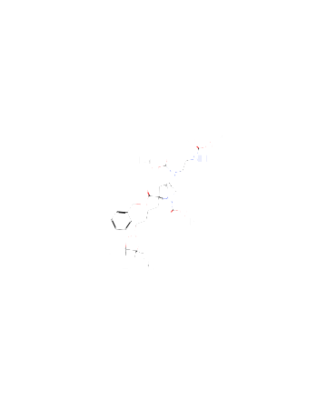 CC(C)(C)OC(=O)NCCN(C(O)OC(C)(C)C)[C@H]1CN(C(=O)OC(C)(C)C)[C@](CCCCB2OC(C)(C)C(C)(C)O2)(C(=O)OCc2ccccc2)C1